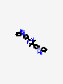 Cc1nc(-c2ccc(-n3nnc4ccccc43)cc2)nc(C)c1-c1ccc(-n2nnc3ccccc32)cc1